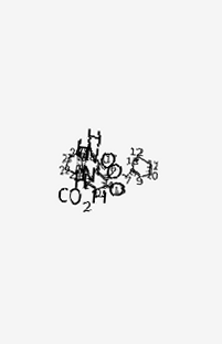 O=C(O)c1cn2c(c(OCc3ccccc3)c1=O)C(=O)N[C@@H]1CCCC[C@@H]12